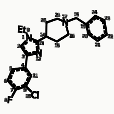 CCn1cc(-c2ccc(F)c(Cl)c2)nc1C1CCN(Cc2ccccc2)CC1